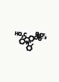 Cc1ccccc1-[n+]1c2ccccc2c(C(=O)O)c2ccccc21.O=S(=O)([O-])C(F)(F)F